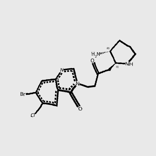 N[C@@H]1CCCN[C@H]1CC(=O)Cn1cnc2cc(Br)c(Cl)cc2c1=O